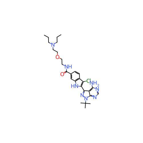 CCCN(CCC)CCOCCNC(=O)c1ccc2c(Cl)c(-c3nn(C(C)(C)C)c4ncnc(N)c34)[nH]c2c1